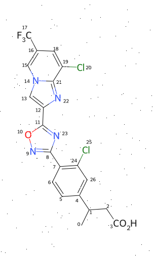 CC(CC(=O)O)c1ccc(-c2noc(-c3cn4cc(C(F)(F)F)cc(Cl)c4n3)n2)c(Cl)c1